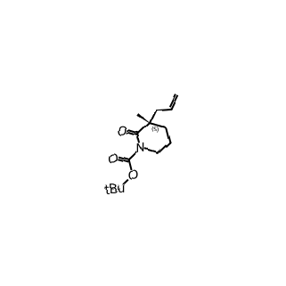 C=CC[C@]1(C)CCCN(C(=O)OC(C)(C)C)C1=O